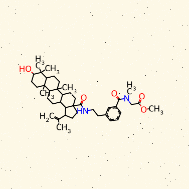 C=C(C)C1CCC2(C(=O)NCCc3cccc(C(=O)N(C)CC(=O)OC)c3)CCC3C(CCC4C3(C)CCC3C(C)(C)C(O)CCC34C)C12